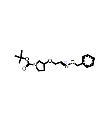 CC(C)(C)OC(=O)N1CCC(OC/C=N/OCc2ccccc2)C1